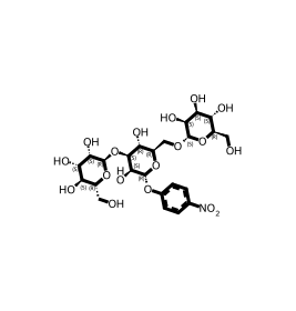 O=[N+]([O-])c1ccc(O[C@H]2O[C@H](CO[C@H]3O[C@H](CO)[C@@H](O)[C@H](O)[C@@H]3O)[C@@H](O)[C@H](O[C@H]3O[C@H](CO)[C@@H](O)[C@H](O)[C@@H]3O)[C@@H]2O)cc1